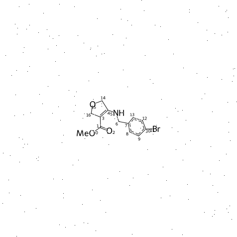 COC(=O)C1=C(NCc2ccc(Br)cc2)COC1